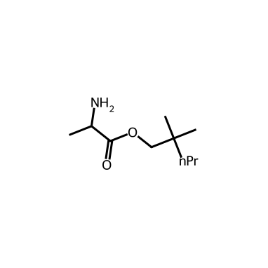 CCCC(C)(C)COC(=O)C(C)N